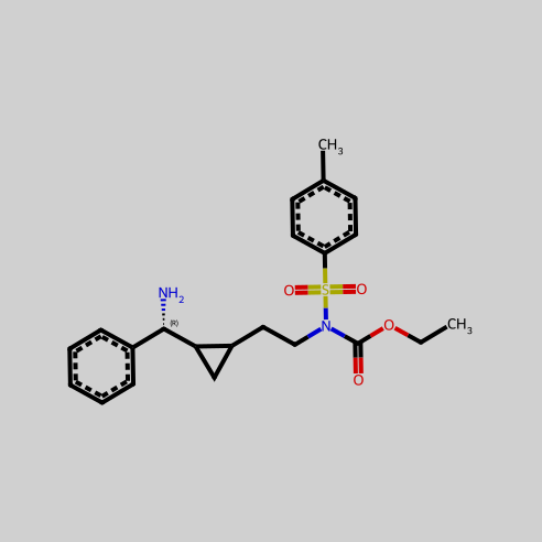 CCOC(=O)N(CCC1CC1[C@@H](N)c1ccccc1)S(=O)(=O)c1ccc(C)cc1